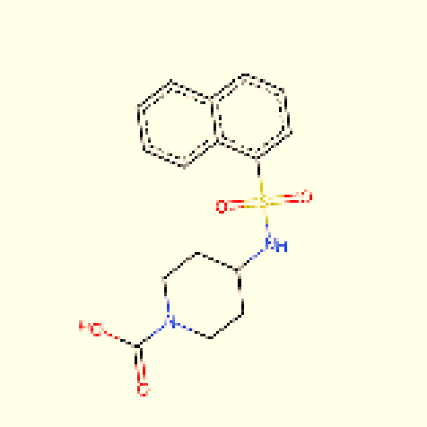 O=C(O)N1CCC(NS(=O)(=O)c2cccc3ccccc23)CC1